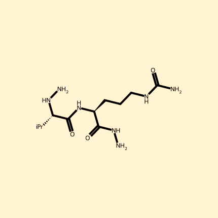 CC(C)[C@H](NN)C(=O)N[C@@H](CCCNC(N)=O)C(=O)NN